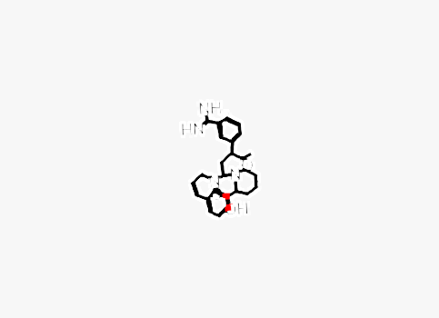 CC(=O)C(CC(N1CC=Cc2ccccc21)N1CCCCC1C(=O)O)c1cccc(C(=N)N)c1